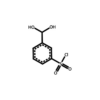 O=S(=O)(Cl)c1cccc(C(O)O)c1